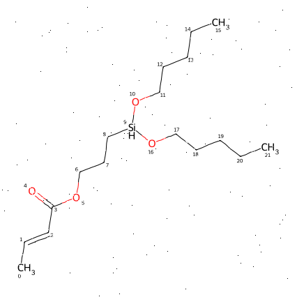 CC=CC(=O)OCCC[SiH](OCCCCC)OCCCCC